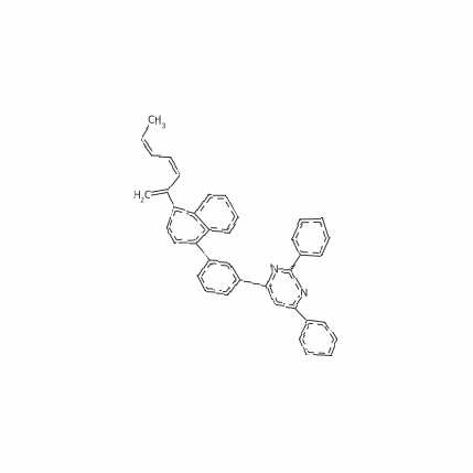 C=C(/C=C\C=C/C)c1ccc(-c2cccc(-c3cc(-c4ccccc4)nc(-c4ccccc4)n3)c2)c2ccccc12